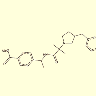 COC(=O)c1ccc(C(C)NC(=O)C(C)(C)N2CCC(Cc3ccccc3)C2)cc1